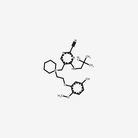 [CH]c1ccc(OC)c(OCC[N+]2(Cc3cnc(C#N)nc3NCC(C)(C)C)CCCCC2)c1